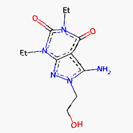 CCn1c(=O)c2c(N)n(CCO)nc2n(CC)c1=O